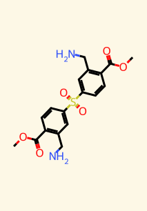 COC(=O)c1ccc(S(=O)(=O)c2ccc(C(=O)OC)c(CN)c2)cc1CN